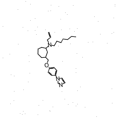 C=CCN(CCCCCCC)C1CCCCC(COc2ccc(-n3ccnc3)cc2)C1